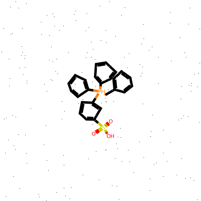 O=S(=O)(O)c1cccc([PH](Cc2ccccc2)(c2ccccc2)c2ccccc2)c1